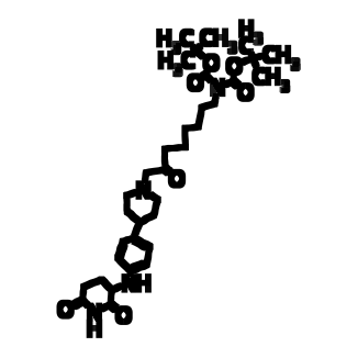 CC(C)(C)OC(=O)N(CCCCCCC(=O)CN1CCC(c2ccc(NC3CCC(=O)NC3=O)cc2)CC1)C(=O)OC(C)(C)C